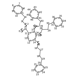 [S]C(SCCc1ccccc1)c1ccc(SCCCCc2ccccc2)c(SCCCc2ccccc2)c1SCCc1ccccc1